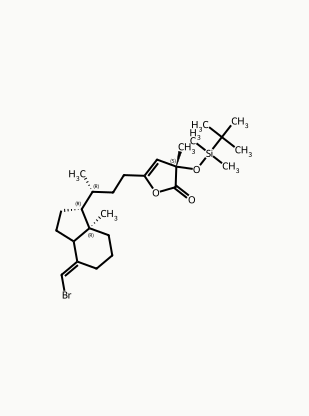 C[C@H](CCC1=C[C@](C)(O[Si](C)(C)C(C)(C)C)C(=O)O1)[C@H]1CCC2C(=CBr)CCC[C@@]21C